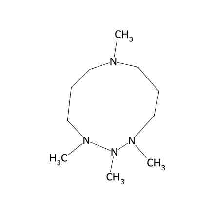 CN1CCCN(C)N(C)N(C)CCC1